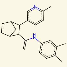 C=C(Nc1ccc(C)c(C)c1)C1C2CCC(C2)C1c1ccc(C)nc1